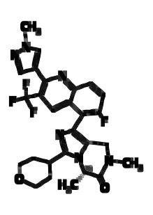 C[C@H]1C(=O)N(C)Cc2c(-c3c(F)ccc4nc(-c5cnn(C)c5)c(C(F)(F)F)cc34)nc(C3CCOCC3)n21